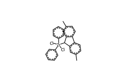 Cc1ccc2c(c1)[CH]([Zr]([Cl])([Cl])([c]1ccccc1)[c]1ccccc1)c1cc(C)ccc1-2